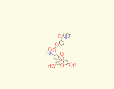 CCCNC(=O)c1cccc(OCCOC(=O)Nc2ccc3c(c2)C(=O)OC32c3ccc(O)cc3Oc3cc(O)ccc32)c1